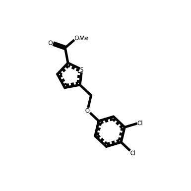 COC(=O)c1ccc(COc2ccc(Cl)c(Cl)c2)s1